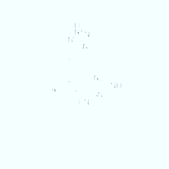 CCCCCNc1nc(N)nc(C)c1Cc1cc(C(C)(C)c2nn[nH]n2)ccc1OC